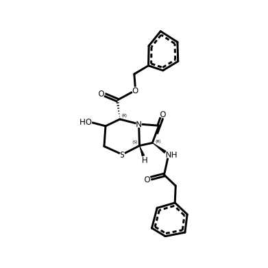 O=C(Cc1ccccc1)N[C@@H]1C(=O)N2[C@@H](C(=O)OCc3ccccc3)C(O)CS[C@@H]12